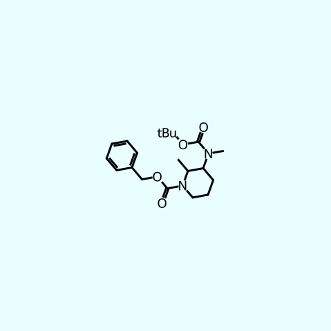 CC1C(N(C)C(=O)OC(C)(C)C)CCCN1C(=O)OCc1ccccc1